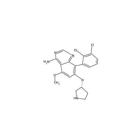 COc1cc(O[C@@H]2CCNC2)c(-c2cccc(Cl)c2Cl)c2ncnc(N)c12